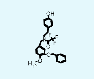 COc1ccc(CN(CCc2ccc(O)cc2)C(=O)C(F)(F)F)cc1OCc1ccccc1